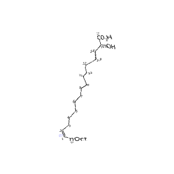 CCCCCCCC/C=C\CCCCCCCCCCCCC(O)C(=O)O